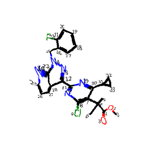 COC(=O)C(C)(C)c1c(Cl)nc(-c2nn(Cc3ccccc3F)c3ncccc23)nc1C1CC1